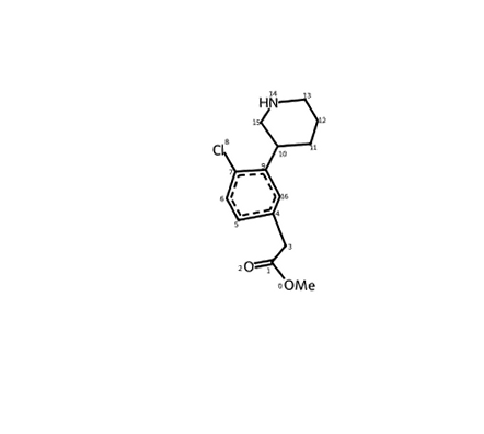 COC(=O)Cc1ccc(Cl)c(C2CCCNC2)c1